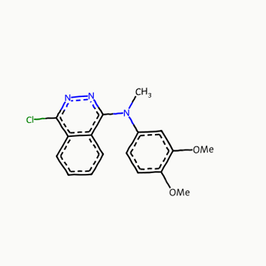 COc1ccc(N(C)c2nnc(Cl)c3ccccc23)cc1OC